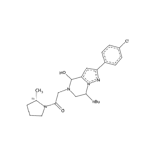 CCCCC1CN(CC(=O)N2CCC[C@@H]2C)C(O)c2cc(-c3ccc(Cl)cc3)nn21